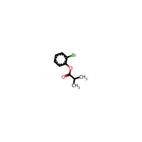 CC(C)C(=O)Oc1ccccc1Br